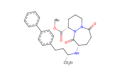 CCOC(=O)[C@H](CCc1ccc(-c2ccccc2)cc1)N[C@H]1CCC(=O)N2CCC[C@@H](C(=O)OC(C)(C)C)N2C1=O